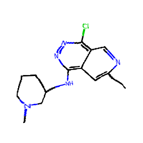 Cc1cc2c(NC3CCCN(C)C3)nnc(Cl)c2cn1